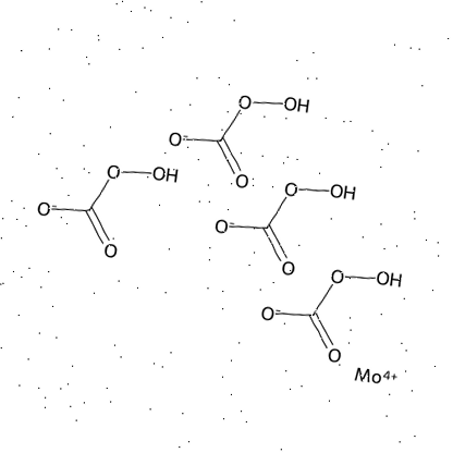 O=C([O-])OO.O=C([O-])OO.O=C([O-])OO.O=C([O-])OO.[Mo+4]